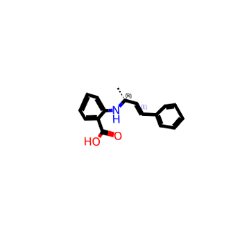 C[C@H](/C=C/c1ccccc1)Nc1ccccc1C(=O)O